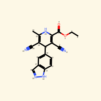 CCOC(=O)C1=C(C#N)C(c2ccc3[nH]ncc3c2)C(C#N)=C(C)N1